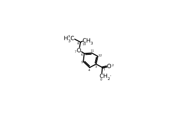 [CH2]C(=O)c1ccc(OC(C)C)cc1